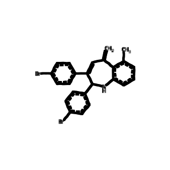 C=C1C=C(c2ccc(Br)cc2)C(c2ccc(Br)cc2)Nc2cccc(C)c21